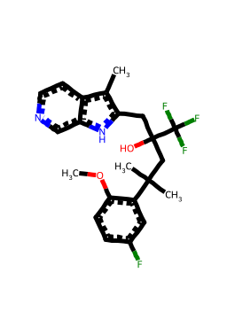 COc1ccc(F)cc1C(C)(C)CC(O)(Cc1[nH]c2cnccc2c1C)C(F)(F)F